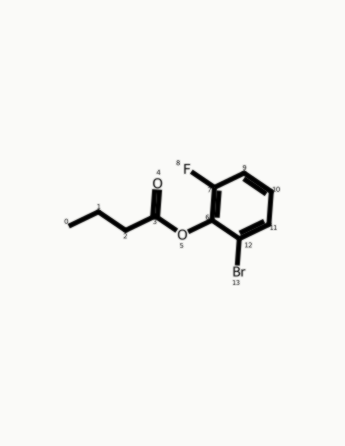 CCCC(=O)Oc1c(F)cccc1Br